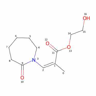 CC(=CN1CCCCCC1=O)C(=O)OCCO